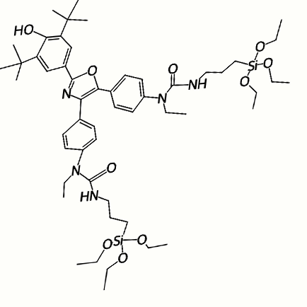 CCO[Si](CCCNC(=O)N(CC)c1ccc(-c2nc(-c3cc(C(C)(C)C)c(O)c(C(C)(C)C)c3)oc2-c2ccc(N(CC)C(=O)NCCC[Si](OCC)(OCC)OCC)cc2)cc1)(OCC)OCC